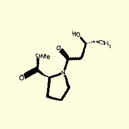 COC(=O)[C@@H]1CCCN1C(=O)C[C@@H](C)O